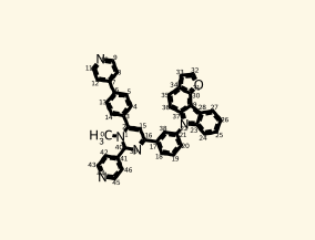 CN1C(c2ccc(-c3ccncc3)cc2)=CC(c2cccc(-n3c4ccccc4c4c5occc5ccc43)c2)=NC1c1ccncc1